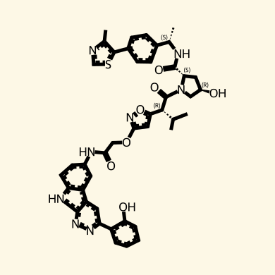 Cc1ncsc1-c1ccc([C@H](C)NC(=O)[C@@H]2C[C@@H](O)CN2C(=O)[C@@H](c2cc(OCC(=O)Nc3ccc4[nH]c5nnc(-c6ccccc6O)cc5c4c3)no2)C(C)C)cc1